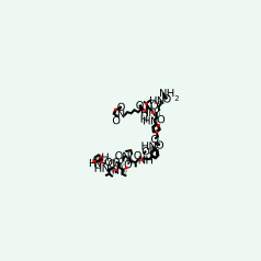 CC[C@H](C)[C@@H]([C@@H](CC(=O)N1CCC[C@H]1[C@H](OC)C(C)C(=O)N[C@H](CO)Cc1cccc(NC(=O)OCc2ccc(NC(=O)[C@H](CCCNC(N)=O)NC(=O)[C@@H](NC(=O)CCCCCN3C(=O)C=CC3=O)C(C)C)cc2)c1)OC)N(C)C(=O)[C@@H](NC(=O)[C@@H]1[C@H]2CC[C@H](C2)N1C)C(C)C